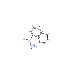 CC(N)c1cccc2c1CCCC2